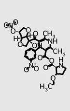 CCOC1CCN[C@@H]1C(=O)OC(=O)C1=C(C)NC(C)=C(C(=O)[C@]2(O)CO[C@@H]3[C@H](O[N+](=O)[O-])CO[C@@H]32)C1c1cccc([N+](=O)[O-])c1